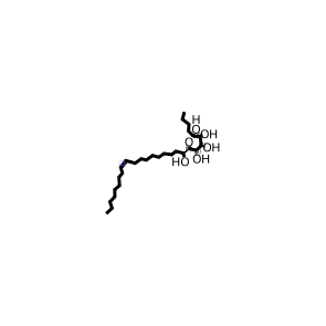 CCCCCCCC/C=C\CCCCCCCCC(O)[C@H]1OC(O)(CCCC)[C@H](O)[C@@H](O)[C@@H]1O